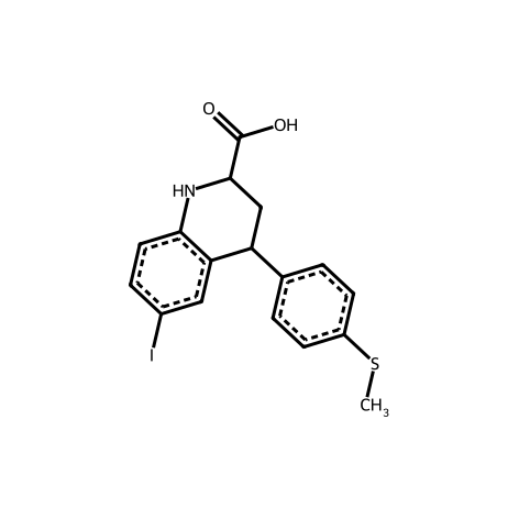 CSc1ccc(C2CC(C(=O)O)Nc3ccc(I)cc32)cc1